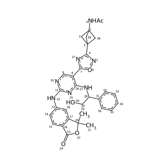 CC(=O)NC12CC(c3noc(-c4cnc(Nc5ccc6c(c5)C(C)(C)OC6=O)nc4NC(CO)c4ccccc4)n3)(C1)C2